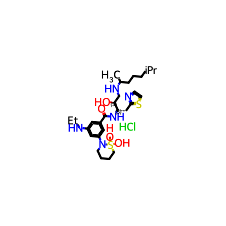 CCNc1cc(C(=O)N[C@@H](Cc2nccs2)[C@@H](O)CNC(C)CCCC(C)C)cc(N2CCCCS2(O)O)c1.Cl